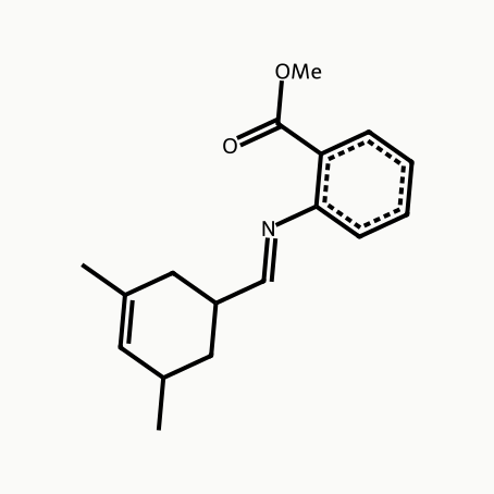 COC(=O)c1ccccc1/N=C/C1CC(C)=CC(C)C1